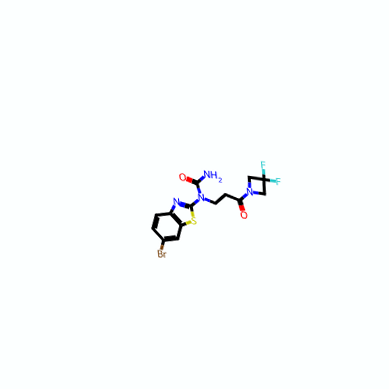 NC(=O)N(CCC(=O)N1CC(F)(F)C1)c1nc2ccc(Br)cc2s1